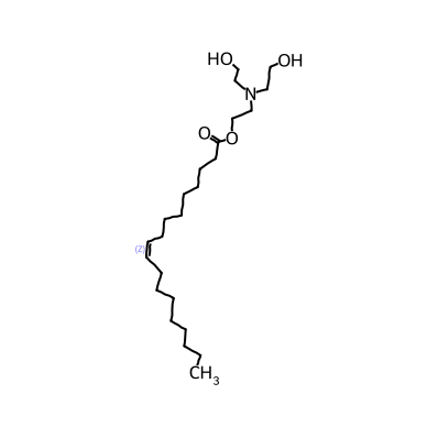 CCCCCCCC/C=C\CCCCCCCC(=O)OCCN(CCO)CCO